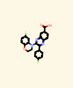 O=C(O)c1ccc2nc(-c3ccc(F)cc3)c(N3CCOc4ccc(F)cc43)nc2c1